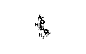 Nc1cc(-c2csc(Nc3cccc(C(F)(F)F)c3)n2)ccc1F